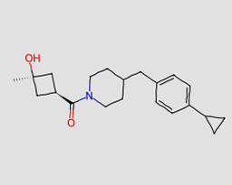 C[C@]1(O)C[C@@H](C(=O)N2CCC(Cc3ccc(C4CC4)cc3)CC2)C1